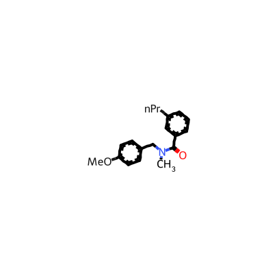 CCCc1cccc(C(=O)N(C)Cc2ccc(OC)cc2)c1